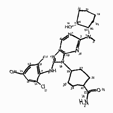 CN(c1ncc2nc(Nc3c(F)cc(Cl)cc3Cl)n(C3CCC(C(N)=O)CC3)c2n1)[C@H]1CCCC[C@H]1O